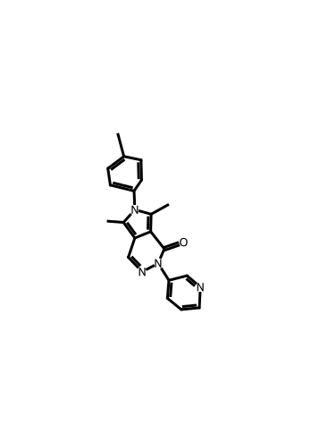 Cc1ccc(-n2c(C)c3cnn(-c4cccnc4)c(=O)c3c2C)cc1